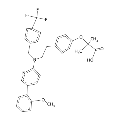 COc1ccccc1-c1ccc(N(CCc2ccc(OC(C)(C)C(=O)O)cc2)Cc2ccc(C(F)(F)F)cc2)nc1